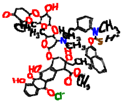 CCC1(O)CC(OC2CC(N(C)C)C(OC3CC(O)C(OC4CCC(=O)C(C)O4)C(C)O3)C(C)O2)c2c(cc3c(c2O)C(=O)c2c(O)cccc2C3=O)C1C(=O)OC.Cc1cccc(N(C)C(=S)Oc2ccc3ccccc3c2)c1.[Cl-].[H+]